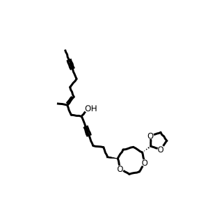 CC#CCCC=C(C)CC(O)C#CCCC[C@H]1CC[C@H](C2OCCO2)OCCO1